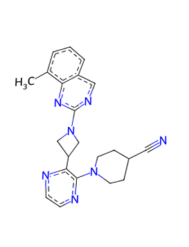 Cc1cccc2cnc(N3CC(c4nccnc4N4CCC(C#N)CC4)C3)nc12